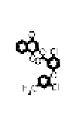 O=C(OC1=CC(=O)c2ccccc2C1=O)c1cc(Oc2ccc(C(F)(F)F)cc2Cl)ccc1Cl